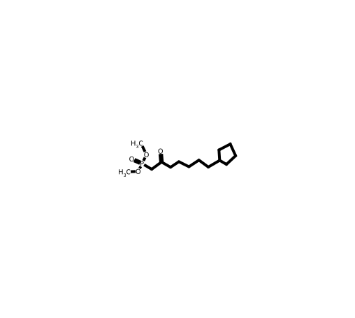 COP(=O)(CC(=O)CCCCCC1CCCC1)OC